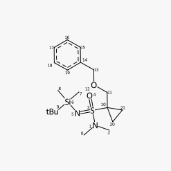 CN(C)S(=O)(=N[Si](C)(C)C(C)(C)C)C1(COCc2ccccc2)CC1